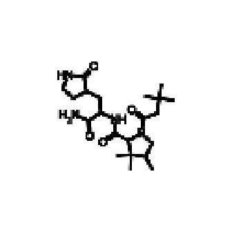 CC1CN(C(=O)CC(C)(C)C)[C@H](C(=O)NC(CC2CCNC2=O)C(N)=O)C1(C)C